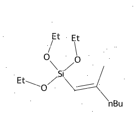 CCCCC(C)=C[Si](OCC)(OCC)OCC